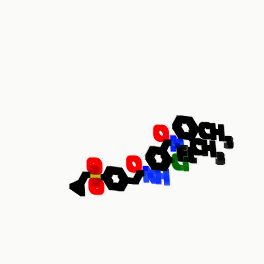 CCN(C(=O)c1ccc(NC(=O)Cc2ccc(S(=O)(=O)CC3CC3)cc2)cc1Cl)c1cccc(C)c1C